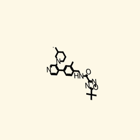 [CH2]C1CCCN(c2cnccc2-c2ccc(CNC(=O)c3noc(C(C)(C)C)n3)c(C)c2)C1